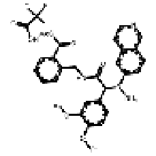 CCOc1cc(C(C(=O)NCc2ccccc2C(=O)OC)N(N)c2ccc3cnccc3c2)ccc1OC(C)C.O=C(O)C(F)(F)F